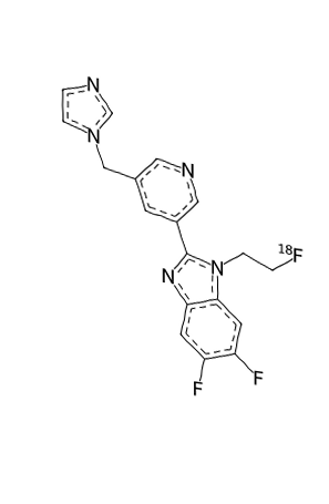 Fc1cc2nc(-c3cncc(Cn4ccnc4)c3)n(CC[18F])c2cc1F